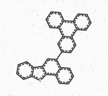 c1ccc2c(c1)sc1c3ccccc3c(-c3ccc4c5ccccc5c5ccccc5c4c3)cc21